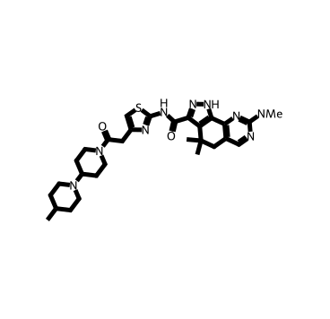 CNc1ncc2c(n1)-c1[nH]nc(C(=O)Nc3nc(CC(=O)N4CCC(N5CCC(C)CC5)CC4)cs3)c1C(C)(C)C2